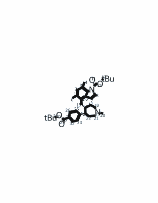 Cc1cc(C)c2c(ccn2C(=O)OC(C)(C)C)c1C[C@@H]1CCN(C)CC[C@H]1c1ccc(C(=O)OC(C)(C)C)cc1